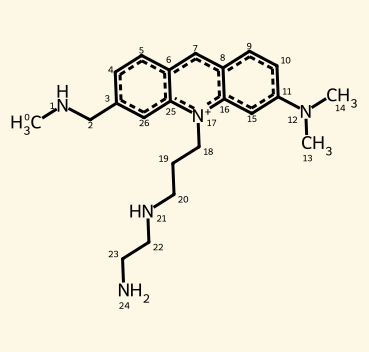 CNCc1ccc2cc3ccc(N(C)C)cc3[n+](CCCNCCN)c2c1